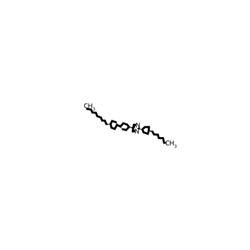 CCCCCCCCCC[C@H]1CC[C@H]([C@H]2CC[C@H](c3cnc([C@H]4CC[C@H](CCCCCCC)CC4)nc3)CC2)CC1